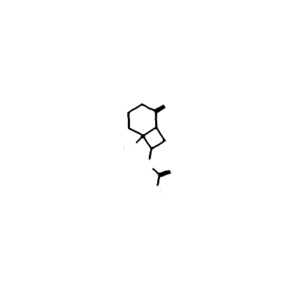 CC(=O)OC1CC2C(=O)CCCC12C